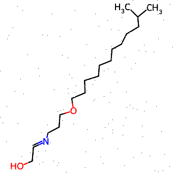 CC(C)CCCCCCCCCCOCCCN=CCO